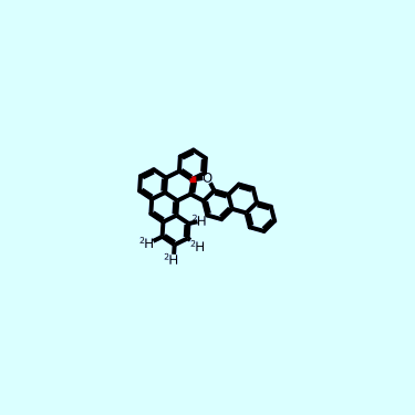 [2H]c1c([2H])c([2H])c2c(-c3coc4c3ccc3c5ccccc5ccc34)c3c(-c4ccccc4)cccc3cc2c1[2H]